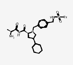 CCS(=O)(=O)NCc1ccc(CN2CC(C3CCCCC3)C[C@H]2C(=O)NC(=O)[C@H](C)N)cc1